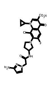 Nc1ccn(CC(=O)NC2CCN(c3c(F)cc4c(=O)c(C(=O)O)cn(C5CC5)c4c3Cl)C2)n1